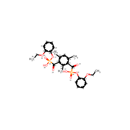 CCOc1ccccc1OP(=O)(O)C(=O)c1c(C)cc(C)c(C(=O)P(=O)(O)Oc2ccccc2OCC)c1C